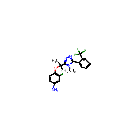 Cn1c(-c2ccccc2C(F)(F)F)nnc1C(C)(C)Oc1ccc(N)cc1F